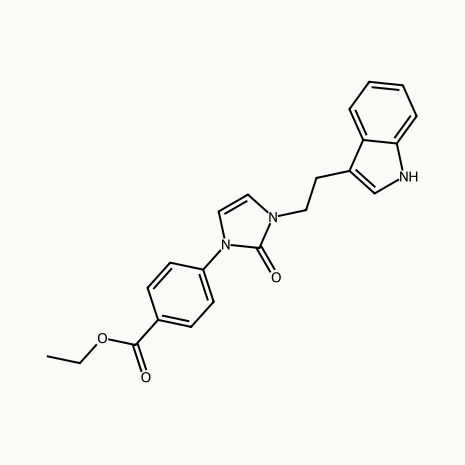 CCOC(=O)c1ccc(-n2ccn(CCc3c[nH]c4ccccc34)c2=O)cc1